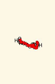 Cc1c(OC2CCC(OC[C@@H](C)CN3CCN(c4ccc5c(C6CCC(=O)NC6=O)nn(C)c5c4)CC3)CC2)cccc1-c1ccc(N2CCc3cccc(C(=O)Nc4nc5ccccc5s4)c3C2)nc1C(=O)OC(C)(C)C